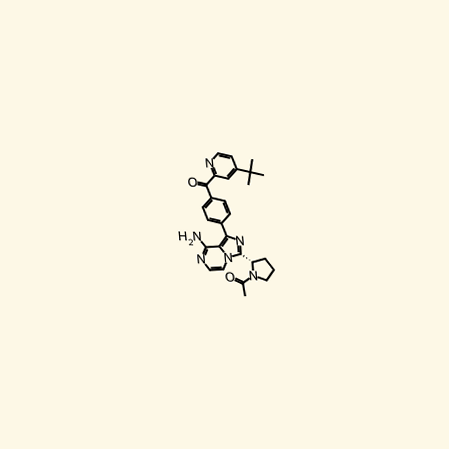 CC(=O)N1CCC[C@H]1c1nc(-c2ccc(C(=O)c3cc(C(C)(C)C)ccn3)cc2)c2c(N)nccn12